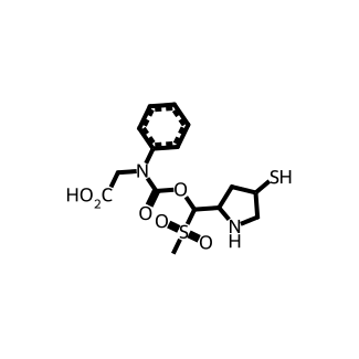 CS(=O)(=O)C(OC(=O)N(CC(=O)O)c1ccccc1)C1CC(S)CN1